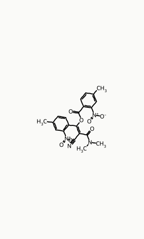 Cc1ccc(C(=O)OC(=C(C#N)C(=O)N(C)C)c2ccc(C)cc2[N+](=O)[O-])c([N+](=O)[O-])c1